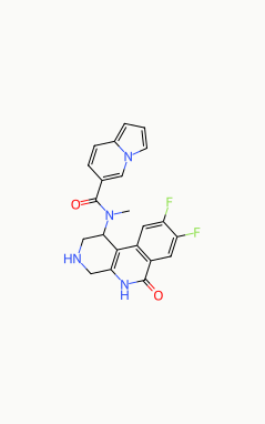 CN(C(=O)c1ccc2cccn2c1)C1CNCc2[nH]c(=O)c3cc(F)c(F)cc3c21